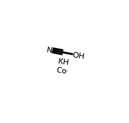 N#CO.[Co].[KH]